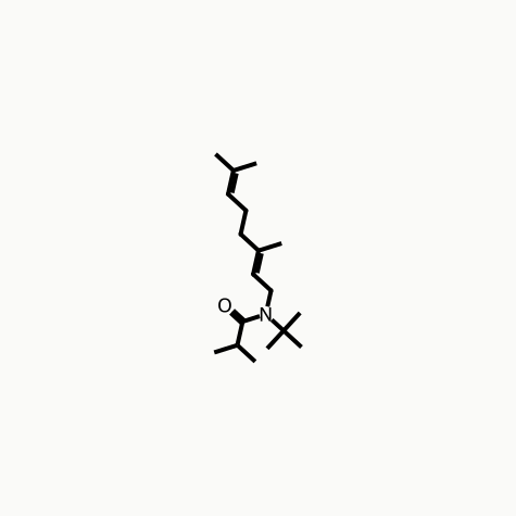 CC(C)=CCC/C(C)=C/CN(C(=O)C(C)C)C(C)(C)C